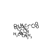 COc1ccc(C2C(C(C)=O)=C(C)N=C(C/C(C)=C\c3ccc4c(c3)OCO4)N2C=O)c(OC)c1